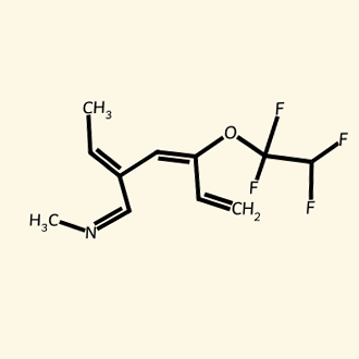 C=C\C(=C/C(/C=N\C)=C\C)OC(F)(F)C(F)F